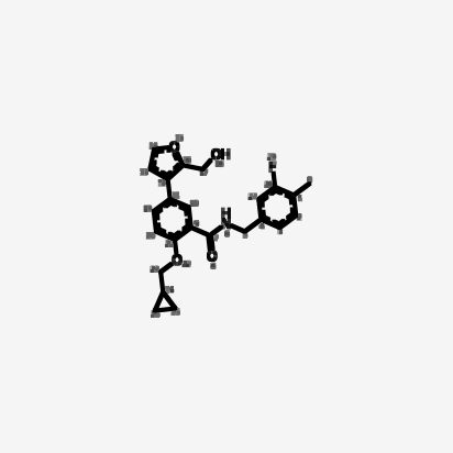 Cc1ccc(CNC(=O)c2cc(-c3ccoc3CO)ccc2OCC2CC2)cc1F